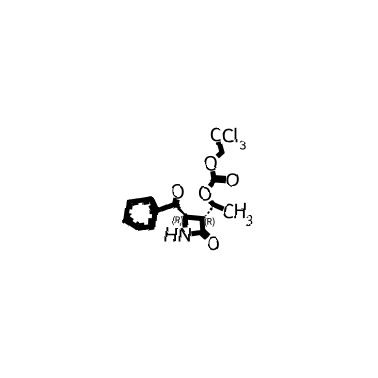 CC(OC(=O)OCC(Cl)(Cl)Cl)[C@@H]1C(=O)N[C@H]1C(=O)c1ccccc1